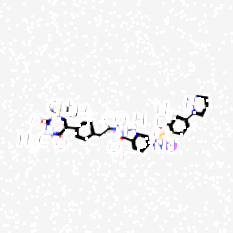 Cc1cc(-c2ccccn2)ccc1S(=O)(=O)Nc1ccc(C(=O)N[C@@H](Cc2ccc(-c3c(C)n(C)c(=O)n(C)c3=O)cc2)C(=O)O)c(F)c1